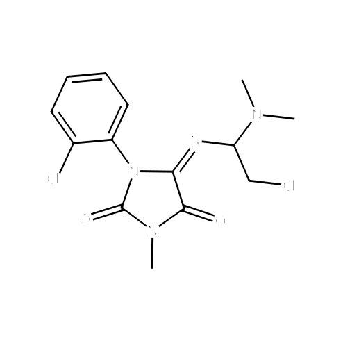 CN1C(=O)C(=NC(CCl)N(C)C)N(c2ccccc2Cl)C1=O